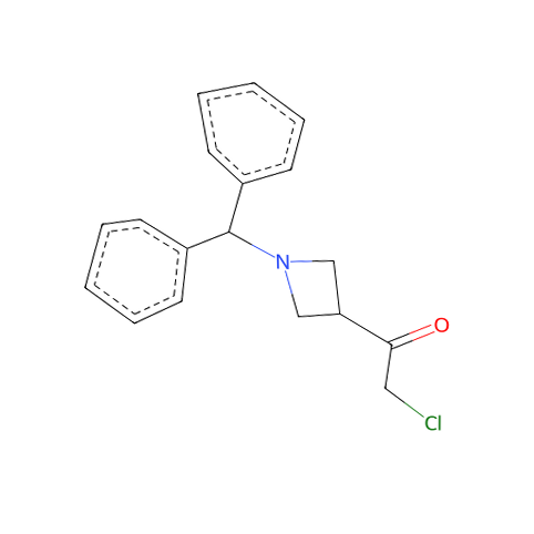 O=C(CCl)C1CN(C(c2ccccc2)c2ccccc2)C1